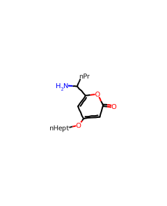 CCCCCCCOc1cc(C(N)CCC)oc(=O)c1